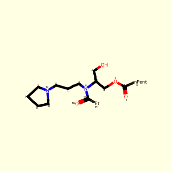 CCCCCC(=O)OCC(CO)N(CCCN1CCCC1)C(=O)CC